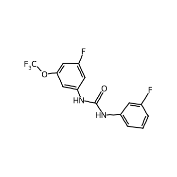 O=C(Nc1cccc(F)c1)Nc1cc(F)cc(OC(F)(F)F)c1